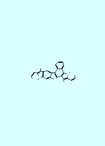 C/C=C\c1c(C)c2cc3c(cc2n1CC)sc1c2c(C)c(/C=C\C)n(CC)c2c2ccccc2c31